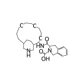 O=C(NC1CCCCCCCCCCC2CCC1CNC2)C1Cc2ccccc2CN1C(=O)O